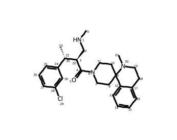 CNC[C@@H](C(=O)N1CCC2(CC1)c1ccccc1CCN2C)[C@@H](C)c1cccc(Cl)c1